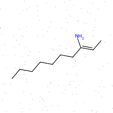 C/C=C(\N)CCCCCCC